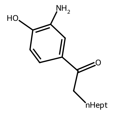 CCCCCCCCC(=O)c1ccc(O)c(N)c1